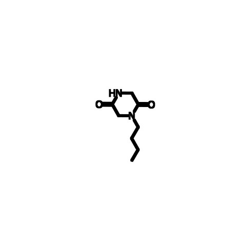 CCCCN1CC(=O)NCC1=O